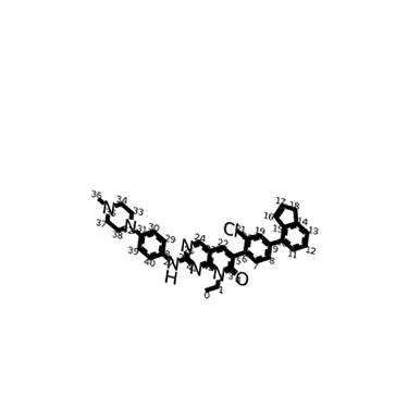 CCn1c(=O)c(-c2ccc(-c3cccc4c3C=CC4)cc2Cl)cc2cnc(Nc3ccc(N4CCN(C)CC4)cc3)nc21